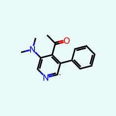 CC(=O)c1c(-c2ccccc2)[c]ncc1N(C)C